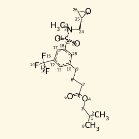 CC(C)COC(=O)CCCc1cc(C(F)(F)F)cc(S(=O)(=O)N(C)C[C@H]2CO2)c1